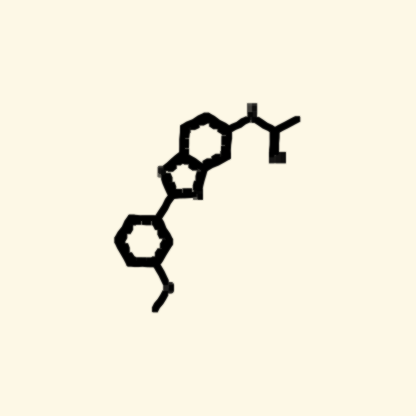 COc1cccc(-c2nc3cc(NC(C)=N)ccc3s2)c1